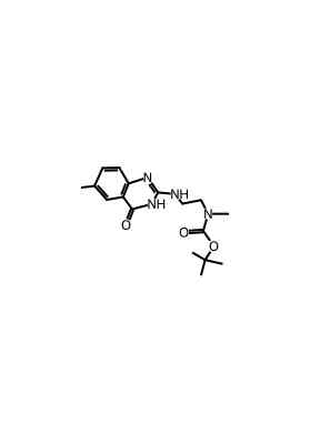 Cc1ccc2nc(NCCN(C)C(=O)OC(C)(C)C)[nH]c(=O)c2c1